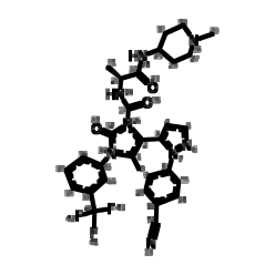 Cc1c(-c2ccnn2-c2ccc(C#N)cc2)n(C(=O)N[C@@H](C)C(=O)NC2CCN(C)CC2)c(=O)n1-c1cccc(C(F)(F)F)c1